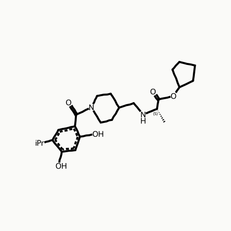 CC(C)c1cc(C(=O)N2CCC(CN[C@@H](C)C(=O)OC3CCCC3)CC2)c(O)cc1O